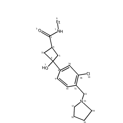 CCNC(=O)C1CC(O)(c2ccc(CN3CCCC3)c(Cl)c2)C1